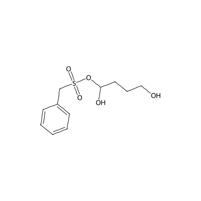 O=S(=O)(Cc1ccccc1)OC(O)CCCO